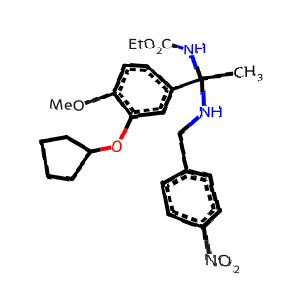 CCOC(=O)NC(C)(NCc1ccc([N+](=O)[O-])cc1)c1ccc(OC)c(OC2CCCC2)c1